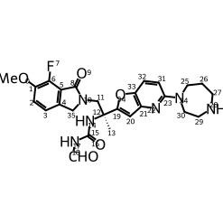 COc1ccc2c(c1F)C(=O)N(C[C@](C)(NC(=O)NC=O)c1cc3nc(N4CCCNCC4)ccc3o1)C2